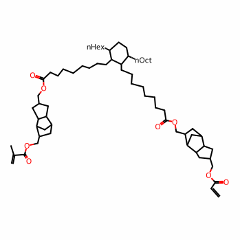 C=CC(=O)OCC1CC2C3CC(COC(=O)CCCCCCCCC4C(CCCCCCCC)CCC(CCCCCC)C4CCCCCCCCC(=O)OCC4CC5C6CC(COC(=O)C(=C)C)C(C6)C5C4)C(C3)C2C1